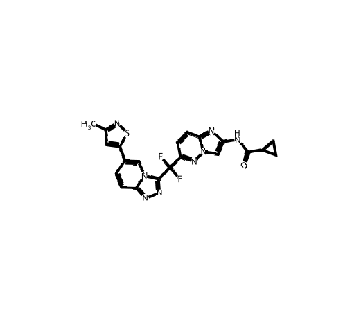 Cc1cc(-c2ccc3nnc(C(F)(F)c4ccc5nc(NC(=O)C6CC6)cn5n4)n3c2)sn1